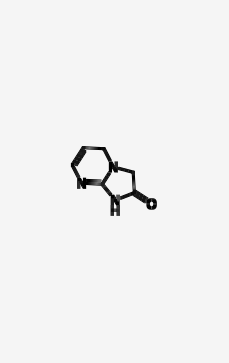 O=C1CN2CC=CN=C2N1